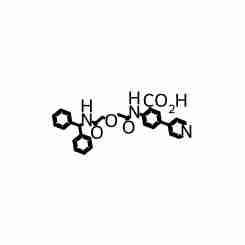 O=C(COCC(=O)NC(c1ccccc1)c1ccccc1)Nc1ccc(-c2ccncc2)cc1C(=O)O